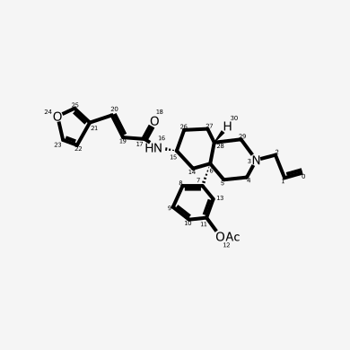 C=CCN1CC[C@@]2(c3cccc(OC(C)=O)c3)C[C@H](NC(=O)/C=C/c3ccoc3)CC[C@@H]2C1